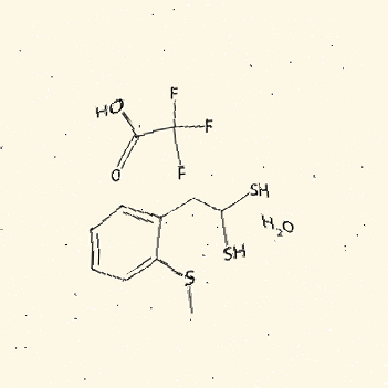 CSc1ccccc1CC(S)S.O.O=C(O)C(F)(F)F